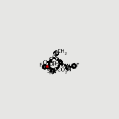 C#C/C1=C(Cl)\C(C)=C(/CC)c2c(-c3ccc(F)cc3)sc3ncnc(c23)O[C@@H](C(=O)O)Cc2cc(ccc2OCc2ccnc(C3=CCC(F)CC3)n2)OC[C@@H](CN2CCN(C)CC2)O1